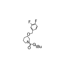 CC(C)(C)OC(=O)N1CCCC(OCc2ccc(F)c(F)c2)C1